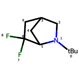 CC(C)(C)N1CC2CC1C(F)(F)C2